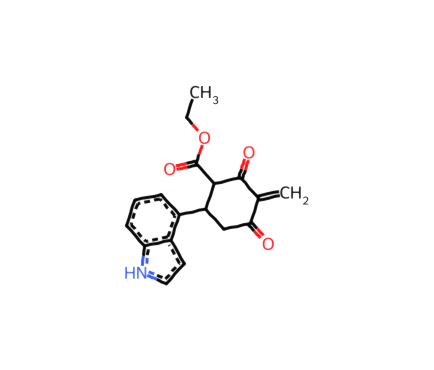 C=C1C(=O)CC(c2cccc3[nH]ccc23)C(C(=O)OCC)C1=O